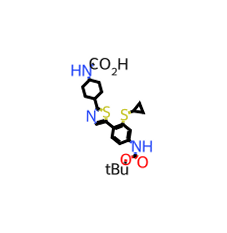 CC(C)(C)OC(=O)Nc1ccc(-c2cnc(C3CCC(NC(=O)O)CC3)s2)c(SC2CC2)c1